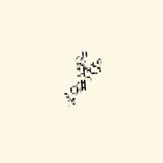 CCS(=O)(=O)c1ccc(CNc2nc3cnc(Cl)nc3n([C@@H]3C[C@H]4CC[C@@H]3C4)c2=O)nc1